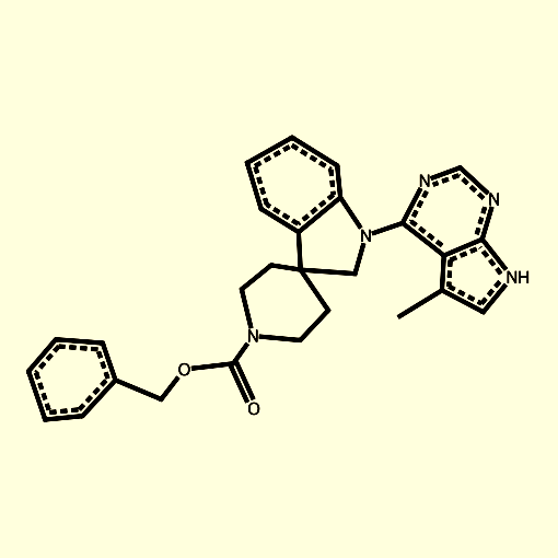 Cc1c[nH]c2ncnc(N3CC4(CCN(C(=O)OCc5ccccc5)CC4)c4ccccc43)c12